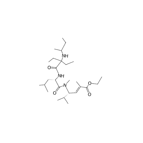 CCOC(=O)/C(C)=C/[C@H](C(C)C)N(C)C(=O)[C@H](CC(C)C)NC(=O)C(CC)(CC)NC(C)CC